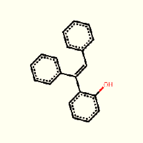 Oc1ccccc1C(=Cc1ccccc1)c1ccccc1